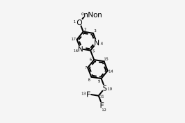 CCCCCCCCCOc1cnc(-c2ccc(SC(F)F)cc2)nc1